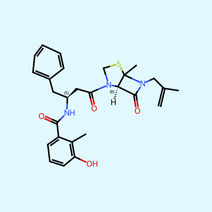 C=C(C)CN1C(=O)[C@H]2N(C(=O)C[C@H](Cc3ccccc3)NC(=O)c3cccc(O)c3C)CSC21C